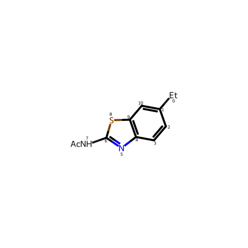 CCc1ccc2nc(NC(C)=O)sc2c1